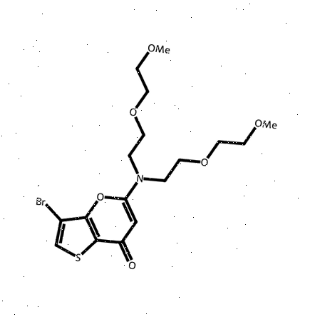 COCCOCCN(CCOCCOC)c1cc(=O)c2scc(Br)c2o1